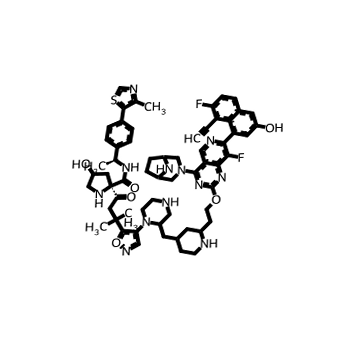 C#Cc1c(F)ccc2cc(O)cc(-c3ncc4c(N5CC6CCC(C5)N6)nc(OCCC5CC(CC6CNCCN6c6cnoc6C(C)(C)CC(=O)[C@@]6(C(=O)N[C@@H](C)c7ccc(-c8scnc8C)cc7)CC(O)CN6)CCN5)nc4c3F)c12